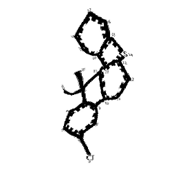 CC1(C)c2ccc(Cl)cc2-c2ccc3sc4ccccc4c3c21